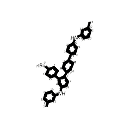 CCCCc1ccc(-c2cc(Nc3cccc(C)c3)ccc2-c2ccc(-c3ccc(Nc4cccc(C)c4)cc3)cc2)cc1